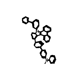 CN(c1ccccc1)c1ccc(-c2ccc(-c3cccc4c3c3c5ccccc5c5ccccc5c3n4-c3cccc(-c4ccccc4)c3)cc2)cc1